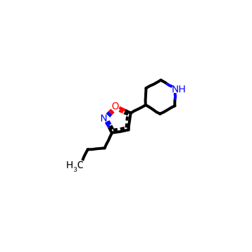 CCCc1cc(C2CCNCC2)on1